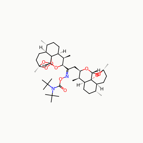 C[C@H]1[C@@H](/C(C[C@H]2O[C@@H]3O[C@]4(C)CC[C@H]5[C@H](C)CC[C@@H]([C@H]2C)[C@@]35OO4)=N\OC(=O)N(C(C)(C)C)C(C)(C)C)O[C@@H]2O[C@]3(C)CC[C@H]4[C@H](C)CC[C@@H]1[C@@]24OO3